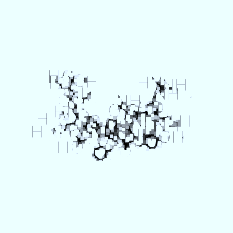 CCC[C@H](NC(=O)[C@@H](NC(=O)[C@H](CC(=O)O)NC(=O)[C@@H]1CCCN1C(=O)[C@H](Cc1ccccc1)NC(=O)[C@H](Cc1ccc(O)cc1)NC(=O)[C@H](CCC(N)=O)NC(=O)[C@H](CCCNC(=N)N)NC(=O)[C@@H](N)CS)[C@@H](C)CC)C(=O)N[C@@H](CS)C(=O)O